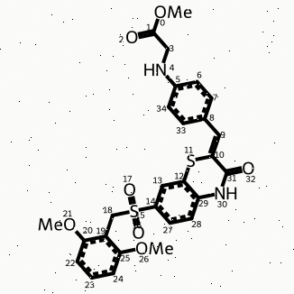 COC(=O)CNc1ccc(/C=C2\Sc3cc(S(=O)(=O)Cc4c(OC)cccc4OC)ccc3NC2=O)cc1